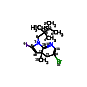 C[SiH](C)C(C)(C)CN1C(I)=CC2(C)CC(Br)=CN=C12